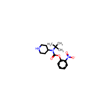 CC(C)(C)N(C(=O)Oc1ccccc1[N+](=O)[O-])C1CCNCC1